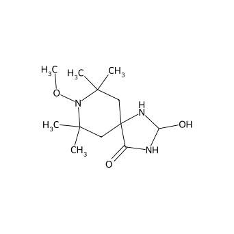 CON1C(C)(C)CC2(CC1(C)C)NC(O)NC2=O